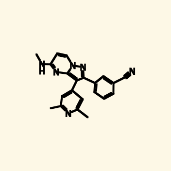 CNc1ccn2nc(-c3cccc(C#N)c3)c(-c3cc(C)nc(C)c3)c2n1